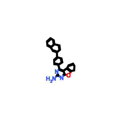 Nc1nc(-c2ccc(-c3ccc4ccccc4c3)cc2)c2c3c(oc2n1)CCC=C3